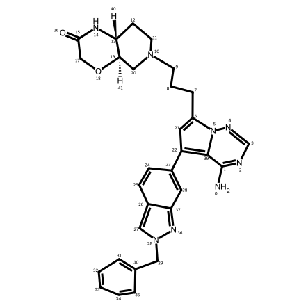 Nc1ncnn2c(CCCN3CC[C@H]4NC(=O)CO[C@@H]4C3)cc(-c3ccc4cn(Cc5ccccc5)nc4c3)c12